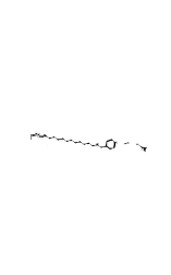 CC(C)(O)CCCCCCCCCCCCCCC(=O)Cc1ccc(OCCOCC2CO2)cc1